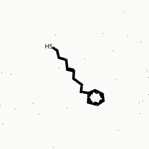 SCCC/C=C/CCCc1ccccc1